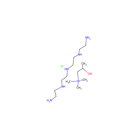 CC(O)C[N+](C)(C)C.NCCNCCNCCNCCN.[Cl-]